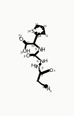 N#CCC(=O)NNC(=O)NC(C(=O)O)c1cccs1